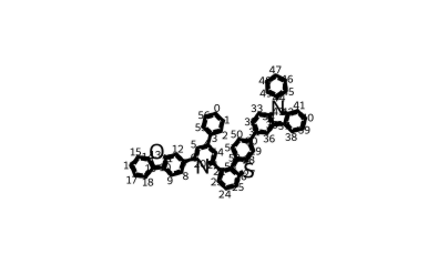 c1ccc(-c2cc(-c3ccc4c(c3)oc3ccccc34)nc(-c3cccc4sc5cc(-c6ccc7c(c6)c6ccccc6n7-c6ccccc6)ccc5c34)c2)cc1